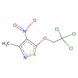 Cc1nsc(OCC(Cl)(Cl)Cl)c1[N+](=O)[O-]